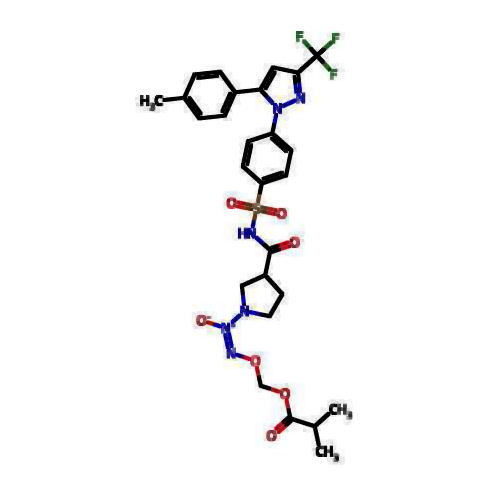 Cc1ccc(-c2cc(C(F)(F)F)nn2-c2ccc(S(=O)(=O)NC(=O)C3CCN(/[N+]([O-])=N\OCOC(=O)C(C)C)C3)cc2)cc1